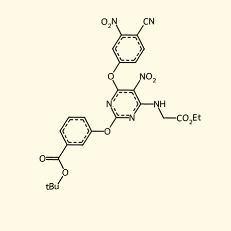 CCOC(=O)CNc1nc(Oc2cccc(C(=O)OC(C)(C)C)c2)nc(Oc2ccc(C#N)c([N+](=O)[O-])c2)c1[N+](=O)[O-]